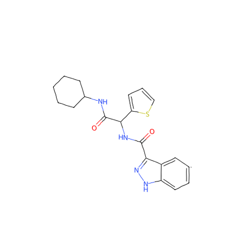 O=C(NC(C(=O)NC1CCCCC1)c1cccs1)c1n[nH]c2cc[c]cc12